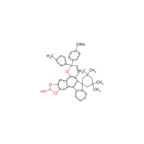 COc1ccc(C2(c3ccc(C)cc3)C=Cc3c4c(c5cc6c(cc5c3O2)OC(O)O6)-c2ccccc2C42CC(C)(C)CC(C)(C)C2)cc1